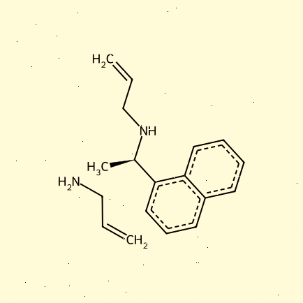 C=CCN.C=CCN[C@H](C)c1cccc2ccccc12